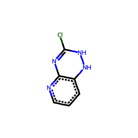 ClC1=Nc2ncccc2NN1